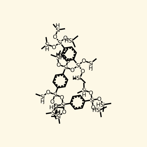 C[SiH](C)O[Si](O[SiH](C)C)(O[SiH](C)C)c1ccc([Si](O[SiH](C)C)(O[SiH](C)C)O[Si](O[SiH](C)C)(O[SiH](C)C)c2ccc([Si](O[SiH](C)C)(O[SiH](C)C)O[Si](O[SiH](C)C)(O[SiH](C)C)c3ccc([Si](O[SiH](C)C)(O[SiH](C)C)O[SiH](C)C)cc3)cc2)cc1